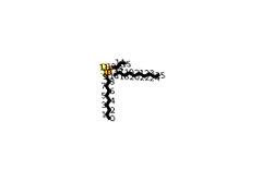 CCCCCCCCCCP(=S)(CCCC)CCCCCCCCCC